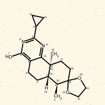 C[C@H]1[C@@H]2CCc3c(O)nc(C4CC4)nc3[C@@]2(C)CCC12OCCO2